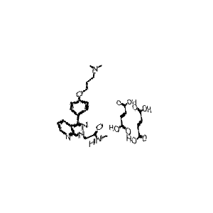 CNC(=O)Cn1nc(-c2ccc(OCCCN(C)C)cc2)c2cccnc21.O=C(O)/C=C/C(=O)O.O=C(O)/C=C/C(=O)O